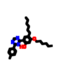 CCCCCCOc1cc(O)c(-c2ncnc(-c3ccc(C)cc3)n2)cc1CCCCCC